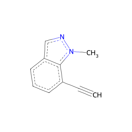 C#Cc1cccc2cnn(C)c12